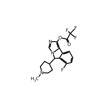 CN1CCC(C2c3c(F)cccc3-c3c(OC(=O)C(F)(F)F)ncn32)CC1